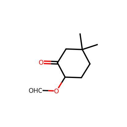 CC1(C)CCC(OC=O)C(=O)C1